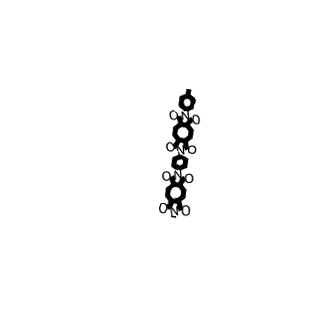 CC1CCC(N2C(=O)C3CCC4C(=O)N(C5CCC(N6C(=O)C7CCC8C(=O)N(C)C(=O)C8CCC7C6=O)CC5)C(=O)C4CCC3C2=O)CC1